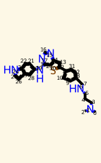 CN(C)CCCNCc1ccc(-c2cc3ncnc(Nc4ccc5[nH]ccc5c4)c3s2)cc1